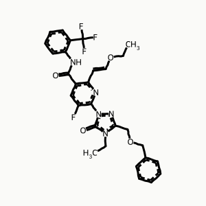 CCOC=Cc1nc(-n2nc(COCc3ccccc3)n(CC)c2=O)c(F)cc1C(=O)Nc1ccccc1C(F)(F)F